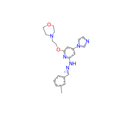 Cc1cccc(/C=N/Nc2cc(-n3ccnc3)cc(OCCN3CCOCC3)n2)c1